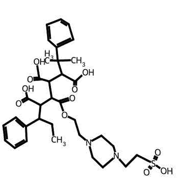 CCC(c1ccccc1)C(C(=O)O)C(C(=O)OCCN1CCN(CCS(=O)(=O)O)CC1)C(C(=O)O)C(C(=O)O)C(C)(C)c1ccccc1